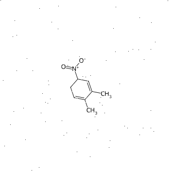 CC1=CCC([N+](=O)[O-])C=C1C